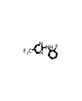 Fc1ccccc1Nc1ncc(C(F)(F)F)cn1